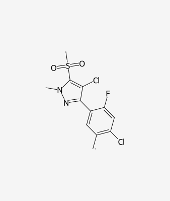 [CH2]c1cc(-c2nn(C)c(S(C)(=O)=O)c2Cl)c(F)cc1Cl